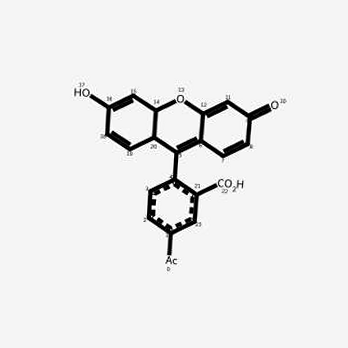 CC(=O)c1ccc(C2=C3C=CC(=O)C=C3OC3C=C(O)C=CC23)c(C(=O)O)c1